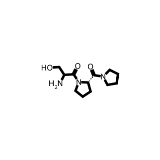 NC(CO)C(=O)N1CCC[C@H]1C(=O)N1CCCC1